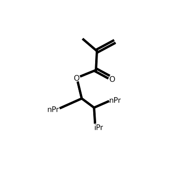 C=C(C)C(=O)OC(CCC)C(CCC)C(C)C